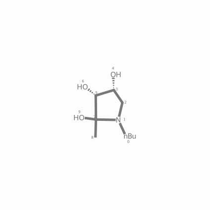 CCCCN1C[C@@H](O)[C@@H](O)C1(C)O